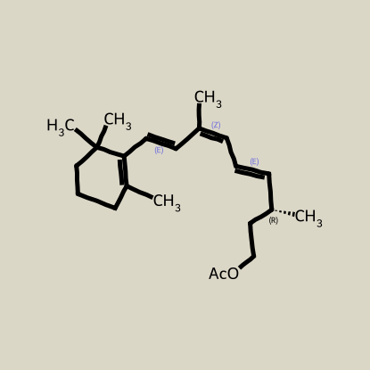 CC(=O)OCC[C@@H](C)/C=C/C=C(C)\C=C\C1=C(C)CCCC1(C)C